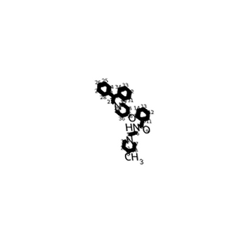 CC1CCN(CCNC(=O)c2ccccc2OC2CCN(CC(c3ccccc3)c3ccccc3)CC2)CC1